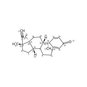 C#C[C@@]1(C)CC[C@H]2C3CCC4=CC(=O)C=C[C@]4(C)[C@H]3CC[C@@]21C